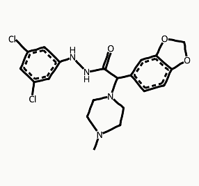 CN1CCN(C(C(=O)NNc2cc(Cl)cc(Cl)c2)c2ccc3c(c2)OCO3)CC1